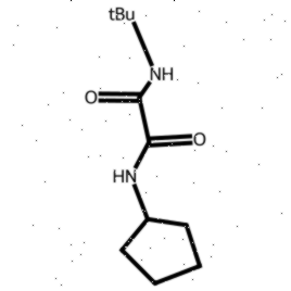 CC(C)(C)NC(=O)C(=O)NC1CCCC1